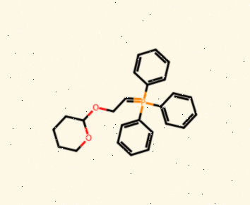 C(COC1CCCCO1)=P(c1ccccc1)(c1ccccc1)c1ccccc1